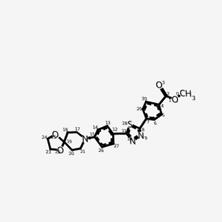 COC(=O)c1ccc(-c2nnc(-c3ccc(N4CCC5(CC4)OCCO5)cc3)s2)cc1